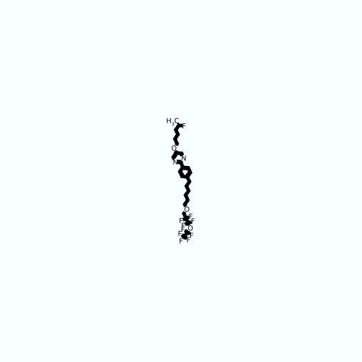 C[C@@H](F)CCCCOc1cnc(-c2ccc(CCCCCCOCC(F)(F)C(F)(F)OC(F)(F)C(F)(F)F)cc2)nc1